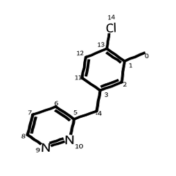 Cc1cc([CH]c2cccnn2)ccc1Cl